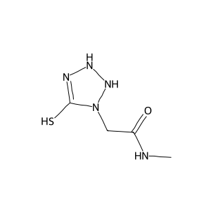 CNC(=O)CN1NNN=C1S